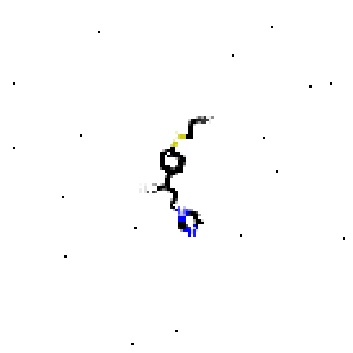 CC(C)CCSc1ccc(C(C)CCn2ccnc2)cc1